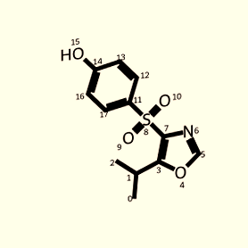 CC(C)c1ocnc1S(=O)(=O)c1ccc(O)cc1